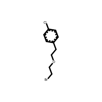 Clc1ccc(CCOCCBr)cc1